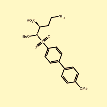 COc1ccc(-c2ccc(S(=O)(=O)N(OCC(C)C)[C@H](CCN)C(=O)O)cc2)cc1